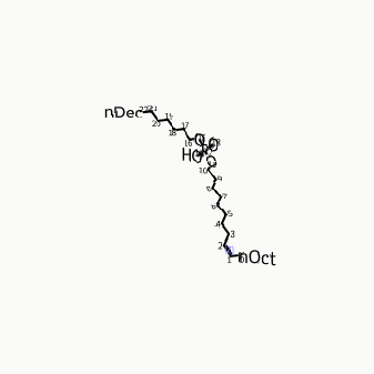 CCCCCCCC/C=C\CCCCCCCCOP(=O)(O)OCCCCCCCCCCCCCCCC